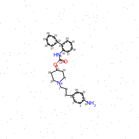 Nc1ccc(CCCN2CCC(OC(=O)Nc3ccccc3-c3ccccc3)CC2)cc1